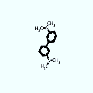 CN(C)c1cccc(-c2cccc(N(C)C)c2)c1